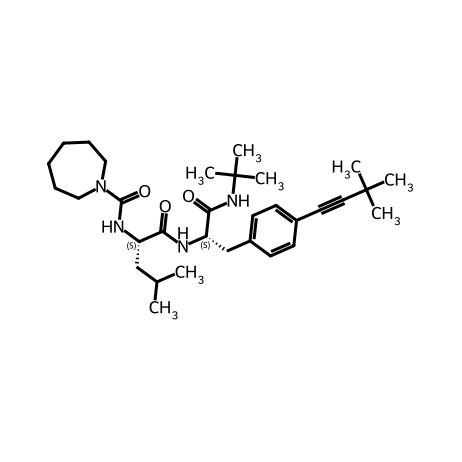 CC(C)C[C@H](NC(=O)N1CCCCCC1)C(=O)N[C@@H](Cc1ccc(C#CC(C)(C)C)cc1)C(=O)NC(C)(C)C